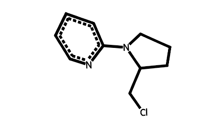 ClCC1CCCN1c1ccccn1